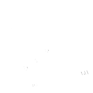 Cc1ccc(S(=O)(=O)C(O)c2c[nH]c3ccccc23)cc1